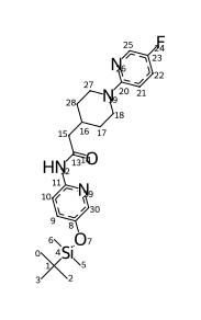 CC(C)(C)[Si](C)(C)Oc1ccc(NC(=O)CC2CCN(c3ccc(F)cn3)CC2)nc1